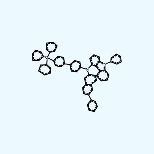 c1ccc(-c2ccc3cc(N(c4ccc(-c5ccc([Si](c6ccccc6)(c6ccccc6)c6ccccc6)cc5)cc4)c4cccc5c4c4ccccc4n5-c4ccccc4)ccc3c2)cc1